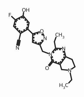 CCc1nc2c(c(=O)n1Cc1cc(-c3cc(O)c(F)cc3C#N)on1)CN(CC)CC2